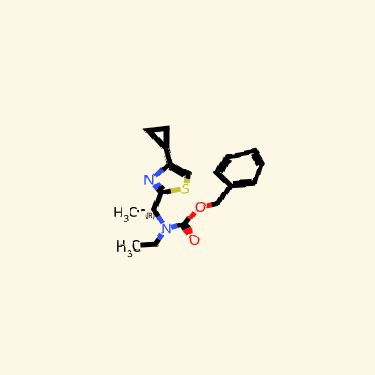 CCN(C(=O)OCc1ccccc1)[C@H](C)c1nc(C2CC2)cs1